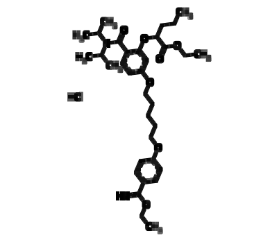 CCCC(Oc1cc(OCCCCCOc2ccc(C(=N)OCC)cc2)ccc1C(=O)N(C(C)C)C(C)C)C(=O)OCC.Cl